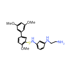 COc1cc(OC)cc(-c2ccc(OC)c(SNc3cccc(NCCN)c3)c2)c1